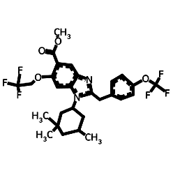 COC(=O)c1cc2nc(Cc3ccc(OC(F)(F)F)cc3)n(C3CC(C)CC(C)(C)C3)c2cc1OCC(F)(F)F